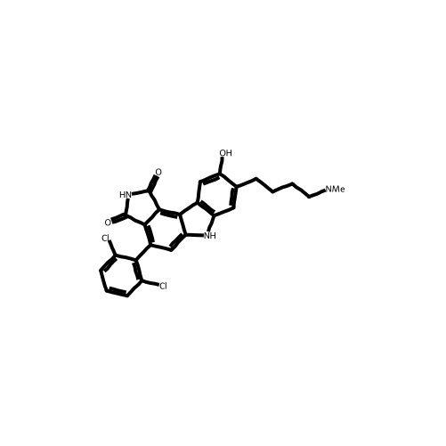 CNCCCCc1cc2[nH]c3cc(-c4c(Cl)cccc4Cl)c4c(c3c2cc1O)C(=O)NC4=O